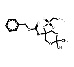 CCS(=O)(=O)OC1(NC(=O)OCc2ccccc2)COC(C)(C)OC1